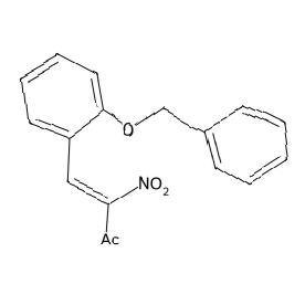 CC(=O)/C(=C/c1ccccc1OCc1ccccc1)[N+](=O)[O-]